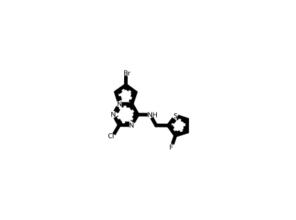 Fc1ccsc1CNc1nc(Cl)nn2cc(Br)cc12